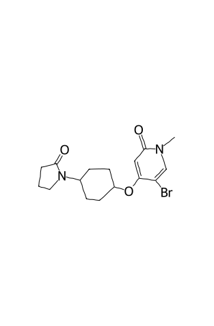 Cn1cc(Br)c(OC2CCC(N3CCCC3=O)CC2)cc1=O